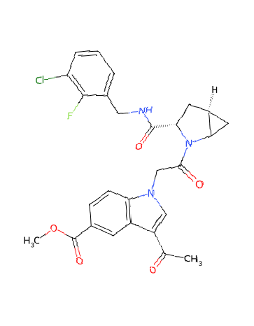 COC(=O)c1ccc2c(c1)c(C(C)=O)cn2CC(=O)N1C2C[C@@H]2C[C@H]1C(=O)NCc1cccc(Cl)c1F